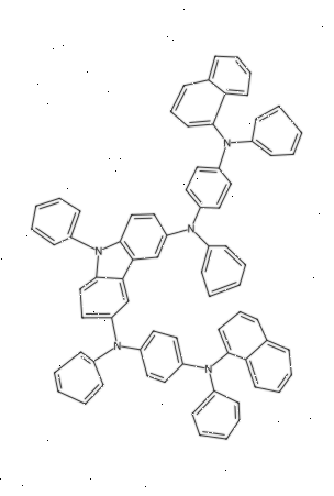 c1ccc(N(c2ccc(N(c3ccccc3)c3cccc4ccccc34)cc2)c2ccc3c(c2)c2cc(N(c4ccccc4)c4ccc(N(c5ccccc5)c5cccc6ccccc56)cc4)ccc2n3-c2ccccc2)cc1